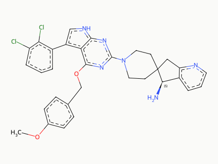 COc1ccc(COc2nc(N3CCC4(CC3)Cc3ncccc3[C@H]4N)nc3[nH]cc(-c4cccc(Cl)c4Cl)c23)cc1